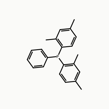 Cc1ccc(P(c2ccccc2)c2ccc(C)cc2C)c(C)c1